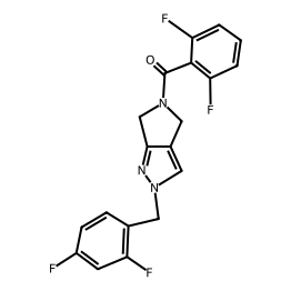 O=C(c1c(F)cccc1F)N1Cc2cn(Cc3ccc(F)cc3F)nc2C1